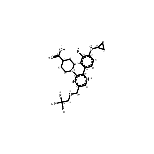 O=C(O)C1CCN(c2nc(COCC(F)(F)F)cnc2-c2ccc(OC3CC3)c(F)c2)CC1